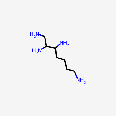 NCCCCC(N)C(N)CN